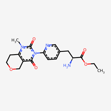 CCOC(=O)[C@@H](N)Cc1ccc(-n2c(=O)c3c(n(C)c2=O)CCOC3)nc1